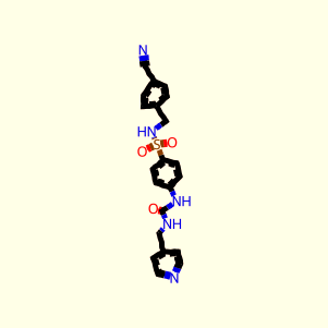 N#Cc1ccc(CNS(=O)(=O)c2ccc(NC(=O)NCc3ccncc3)cc2)cc1